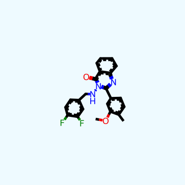 COc1cc(-c2nc3ccccc3c(=O)n2NCc2ccc(F)c(F)c2)ccc1C